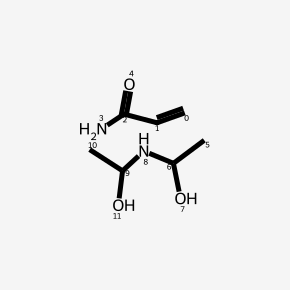 C=CC(N)=O.CC(O)NC(C)O